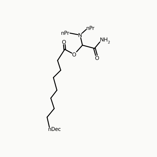 CCCCCCCCCCCCCCCCCC(=O)OC(C(N)=O)N(CCC)CCC